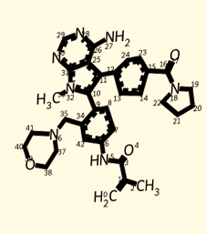 C=C(C)C(=O)Nc1ccc(-c2c(-c3ccc(C(=O)N4CCCC4)cc3)c3c(N)ncnc3n2C)c(CN2CCOCC2)c1